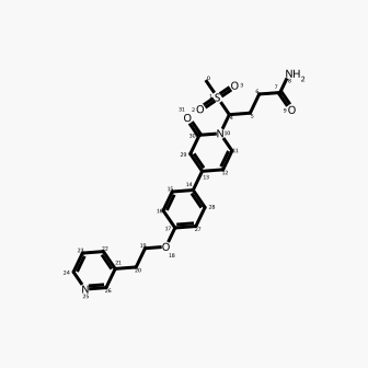 CS(=O)(=O)C(CCC(N)=O)n1ccc(-c2ccc(OCCc3cccnc3)cc2)cc1=O